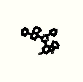 Clc1cc(-c2nc(-c3ccccc3)nc(-c3ccc(-c4ccccc4)c4ccccc34)n2)c2c(c1)oc1ccccc12